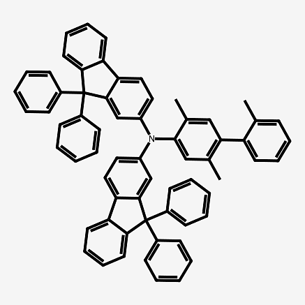 Cc1ccccc1-c1cc(C)c(N(c2ccc3c(c2)C(c2ccccc2)(c2ccccc2)c2ccccc2-3)c2ccc3c(c2)C(c2ccccc2)(c2ccccc2)c2ccccc2-3)cc1C